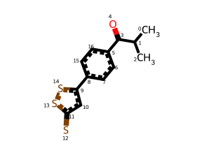 CC(C)C(=O)c1ccc(-c2cc(=S)ss2)cc1